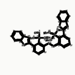 CO[Si](OC)(OC)c1c(SSc2cccc(-c3nc4ccccc4s3)c2[Si](OC)(OC)OC)cccc1-c1nc2ccccc2s1